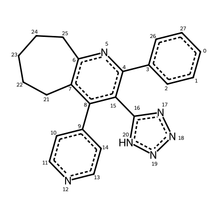 c1ccc(-c2nc3c(c(-c4ccncc4)c2-c2nnn[nH]2)CCCCC3)cc1